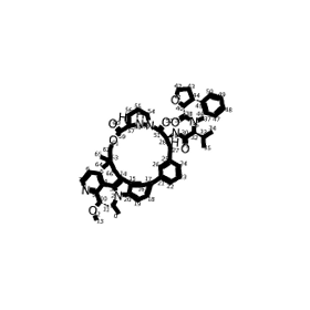 CCn1c(-c2cccnc2[C@H](C)OC)c2c3cc(ccc31)-c1cccc(c1)C[C@H](NC(=O)[C@H](C(C)C)N(C)C(=O)[C@@H]1OCC[C@@H]1c1ccccc1)C(=O)N1CCC[C@H](N1)C(=O)OCC(C)(C)C2